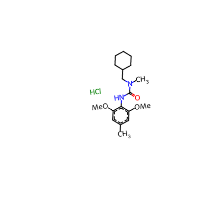 COc1cc(C)cc(OC)c1NC(=O)N(C)CC1CCCCC1.Cl